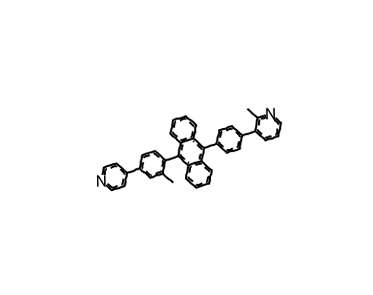 Cc1cc(-c2ccncc2)ccc1-c1c2ccccc2c(-c2ccc(-c3cccnc3C)cc2)c2ccccc12